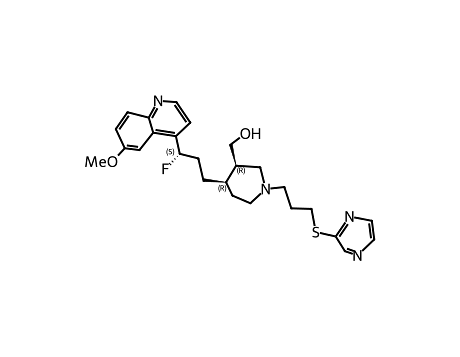 COc1ccc2nccc([C@@H](F)CC[C@@H]3CCN(CCCSc4cnccn4)C[C@@H]3CO)c2c1